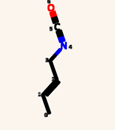 CC=CCN=C=O